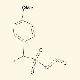 COc1ccc(C(C)S(=O)(=O)N=S=O)cc1